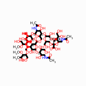 CC[C@@](OCC(CO)O[C@@H](O[C@@H]1C(CO)O[C@@H](OC2C(O)[C@H](O)C(COCOC(CO)[C@@H](OC)C(C)O)O[C@@H]2OCC2O[C@@H](O[C@H](C(O)CO)C(O)CNC(C)=O)C(O)C(O[C@@H](OCCO)C(CO)OC)[C@@H]2O)C(NC(C)=O)C1O)C(C)O)(OC(CNC(C)=O)[C@H](O)[C@H](O)CO)C(=O)O